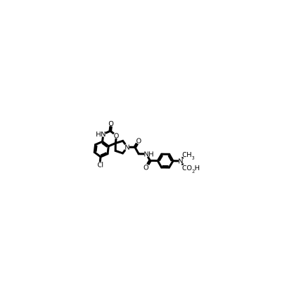 CN(C(=O)O)c1ccc(C(=O)NCC(=O)N2CCC3(C2)OC(=O)Nc2ccc(Cl)cc23)cc1